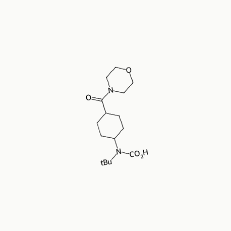 CC(C)(C)N(C(=O)O)C1CCC(C(=O)N2CCOCC2)CC1